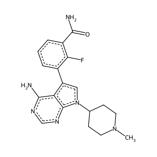 CN1CCC(n2cc(-c3cccc(C(N)=O)c3F)c3c(N)ncnc32)CC1